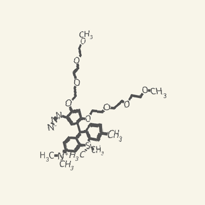 COCCOCCOCCOc1cc(OCCOCCOCCOC)c(C2=C3C=CC(=[N+](C)C)C=C3[Si](C)(C)c3cc(C)ccc32)cc1N=[N+]=[N-]